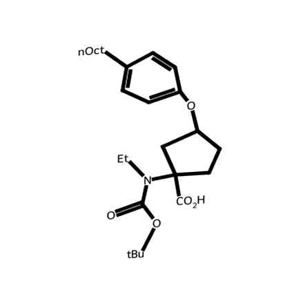 CCCCCCCCc1ccc(OC2CCC(C(=O)O)(N(CC)C(=O)OC(C)(C)C)C2)cc1